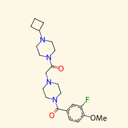 COc1ccc(C(=O)N2CCN(CC(=O)N3CCN(C4CCC4)CC3)CC2)cc1F